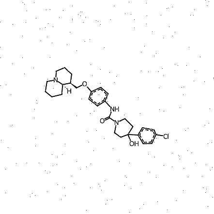 O=C(Nc1ccc(OC[C@@H]2CCCN3CCCC[C@H]23)cc1)N1CCC(O)(c2ccc(Cl)cc2)CC1